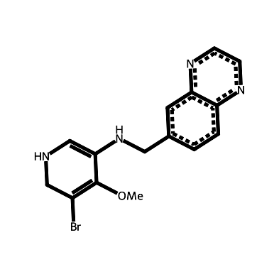 COC1=C(Br)CNC=C1NCc1ccc2nccnc2c1